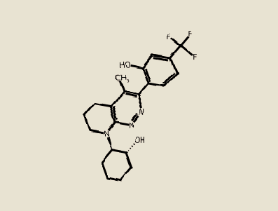 Cc1c(-c2ccc(C(F)(F)F)cc2O)nnc2c1CCCN2[C@@H]1CCCC[C@H]1O